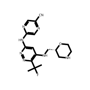 CC(C)(F)c1nnc(Nc2cnc(C#N)cn2)cc1NC[C@H]1CNCCO1